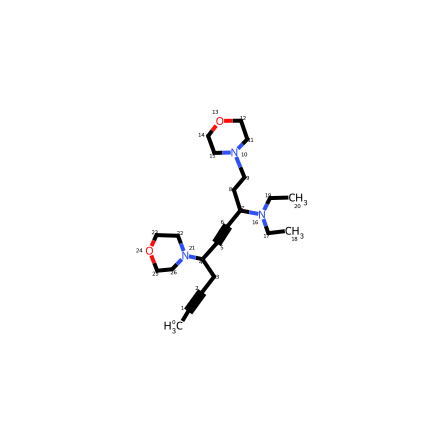 CC#CCC(C#CC(CCN1CCOCC1)N(CC)CC)N1CCOCC1